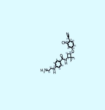 CC1(C)[C@@H](NC(=O)c2ccc(NCCN)cc2)C[C@@H]1Oc1ccc(C#N)c(Cl)c1